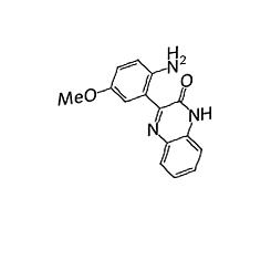 COc1ccc(N)c(-c2nc3ccccc3[nH]c2=O)c1